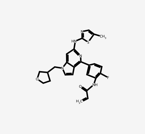 C=CC(=O)Nc1cc(-c2nc(Nc3ncc(C)s3)cc3c2ccn3CC2CCOC2)ccc1F